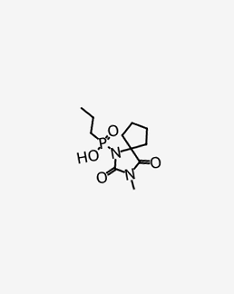 CCCP(=O)(O)N1C(=O)N(C)C(=O)C12CCCC2